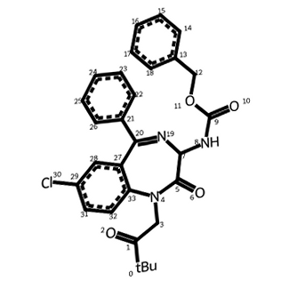 CC(C)(C)C(=O)CN1C(=O)C(NC(=O)OCc2ccccc2)N=C(c2ccccc2)c2cc(Cl)ccc21